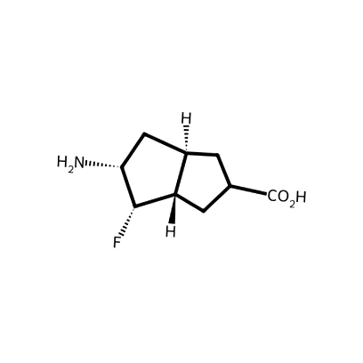 N[C@@H]1C[C@H]2CC(C(=O)O)C[C@@H]2[C@@H]1F